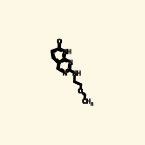 CCOCCNc1ncc2ccc(=O)[nH]c2n1